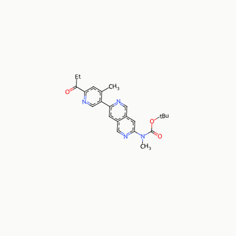 CCC(=O)c1cc(C)c(-c2cc3cnc(N(C)C(=O)OC(C)(C)C)cc3cn2)cn1